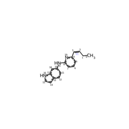 CC/C=C\c1cccc(Nc2ccc3cc[nH]c3c2)n1